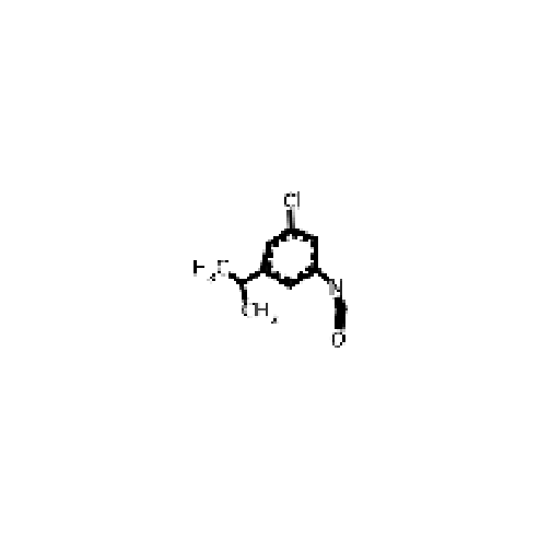 CC(C)c1cc(Cl)cc(N=C=O)c1